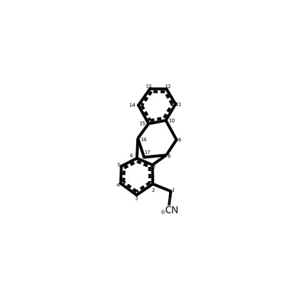 N#CCc1cccc2c1C1Cc3ccccc3C2C1